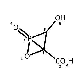 O=C(O)C12OP1(=O)C2O